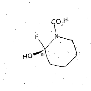 O=C(O)N1CCCC[C@]1(O)F